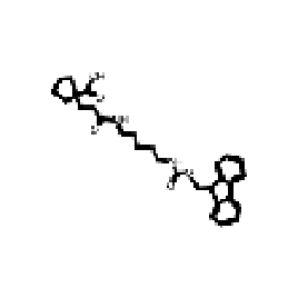 O=C(CCC1(C(=O)O)CCCC1)NCCCCCNC(=O)OCC1c2ccccc2-c2ccccc21